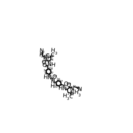 CC(C)CC(NC(=O)c1ccc(NC(=O)Nc2ccc(C(=O)NC(CC(C)C)C(=O)NCC#N)cc2)cc1)C(=O)NCC#N